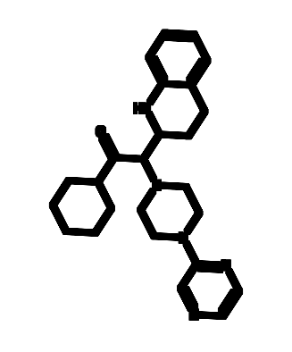 O=C(C1CCCCC1)C(C1CCc2ccccc2N1)N1CCN(c2cnccn2)CC1